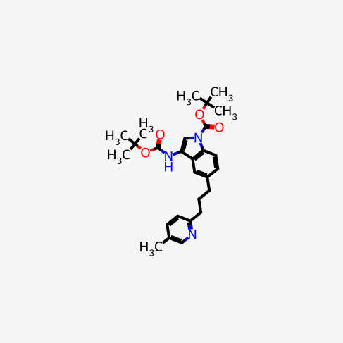 Cc1ccc(CCCc2ccc3c(c2)c(NC(=O)OC(C)(C)C)cn3C(=O)OC(C)(C)C)nc1